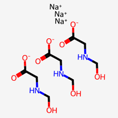 O=C([O-])CNCO.O=C([O-])CNCO.O=C([O-])CNCO.[Na+].[Na+].[Na+]